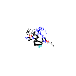 COc1cncc(-c2cc(F)ccc2C2Cc3nc(N)nc(C)c3C(=O)N2Cc2ccncc2)n1